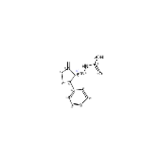 O=C(O)N/N=C1\NCCC1c1ccccc1